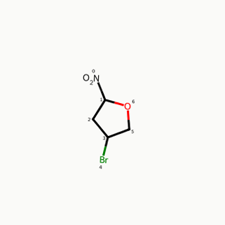 O=[N+]([O-])C1CC(Br)CO1